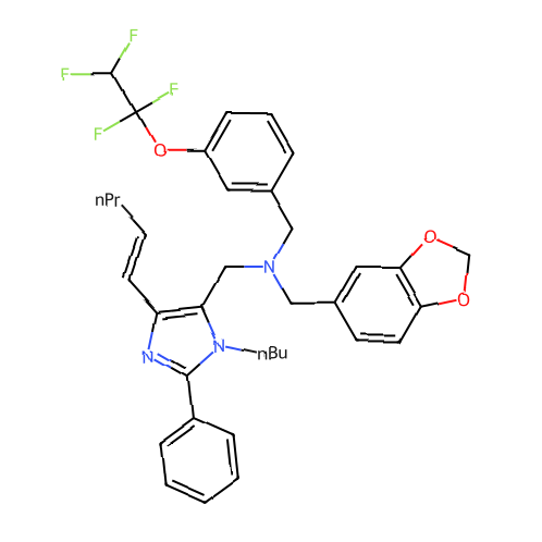 CCCC=Cc1nc(-c2ccccc2)n(CCCC)c1CN(Cc1cccc(OC(F)(F)C(F)F)c1)Cc1ccc2c(c1)OCO2